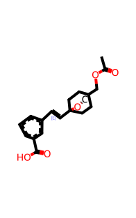 CC(=O)OCC12CCC(/C=C/c3cccc(C(=O)O)c3)(CC1)OC2